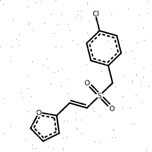 O=S(=O)(C=Cc1ccco1)Cc1ccc(Cl)cc1